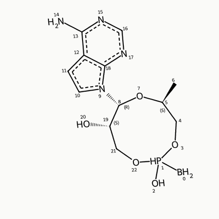 B[PH]1(O)OC[C@H](C)O[C@@H](n2ccc3c(N)ncnc32)[C@@H](O)CO1